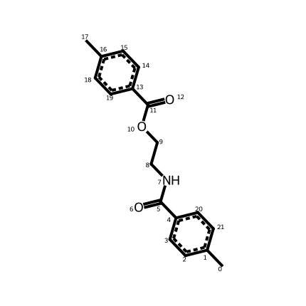 Cc1ccc(C(=O)NCCOC(=O)c2ccc(C)cc2)cc1